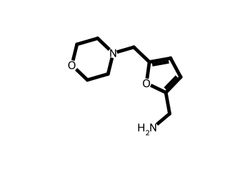 NCc1ccc(CN2CCOCC2)o1